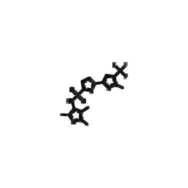 Cc1nn(C)c(C)c1NS(=O)(=O)c1ccc(-c2cc(C(F)(F)F)n(C)n2)s1